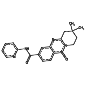 CC1(C)CCn2c(nc3cc(C(=O)Nc4ccccn4)ccc3c2=O)C1